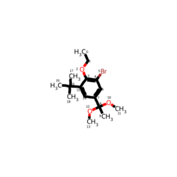 CCOc1c(Br)cc(C(C)(OC)OC)cc1C(C)(C)C